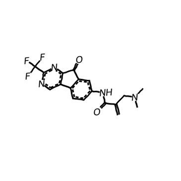 C=C(CN(C)C)C(=O)Nc1ccc2c(c1)C(=O)c1nc(C(F)(F)F)ncc1-2